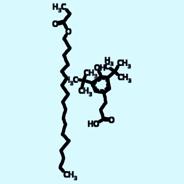 CC(C)(C)c1cc(CCC(=O)O)cc(C(C)(C)C)c1O.CCCCCCCCCCCCCCCCCCOC(=O)CC